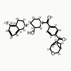 O=C(c1ccc(C(=O)N2C3CCC2COC3)cc1)N1CC[C@@H](N2CCc3c(F)cccc3C2)[C@H](O)C1